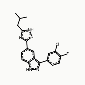 CC(C)Cc1nc(-c2ccc3[nH]nc(-c4ccc(F)c(Cl)c4)c3c2)n[nH]1